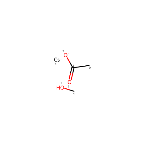 CC(=O)[O-].CO.[Cs+]